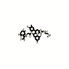 Cc1cc(-c2cc3sc(NCCN(C)C)nc3nc2C(Cc2cc(F)cc(F)c2)NC(=O)Cn2nc(C(F)F)c3c2C(F)(F)CCC3(F)F)ccc1F